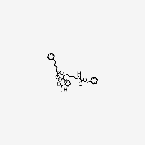 O=C(NCCCC[C@H](O[PH](=O)CCCCc1ccccc1)C(=O)N1CCC[C@H]1C(=O)O)OCc1ccccc1